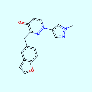 Cn1cc(-n2ccc(=O)c(Cc3ccc4occc4c3)n2)cn1